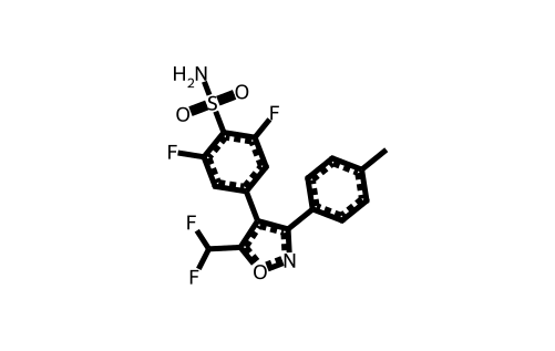 Cc1ccc(-c2noc(C(F)F)c2-c2cc(F)c(S(N)(=O)=O)c(F)c2)cc1